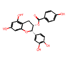 O=C(O[C@H]1Cc2c(O)cc(O)cc2O[C@H]1c1ccc(O)c(O)c1)c1ccc(O)cc1